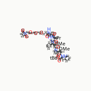 CO[C@H]([C@@H](C)C(=O)N[C@@H](Cc1ccccc1)C(=O)OC(C)(C)C)[C@@H]1CCCN1C(=O)C[C@@H](OC)[C@H](C1CCCCC1)N(C)C(=O)[C@@H](NC(=O)C(C)(C)NC(=O)CCOCCOCCOCCN1C(=O)C=CC1=O)C(C)C